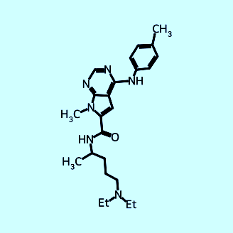 CCN(CC)CCCC(C)NC(=O)c1cc2c(Nc3ccc(C)cc3)ncnc2n1C